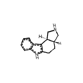 c1ccc2c3c([nH]c2c1)CC[C@H]1CNC[C@H]31